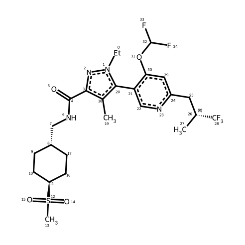 CCn1nc(C(=O)NC[C@H]2CC[C@H](S(C)(=O)=O)CC2)c(C)c1-c1cnc(C[C@@H](C)C(F)(F)F)cc1OC(F)F